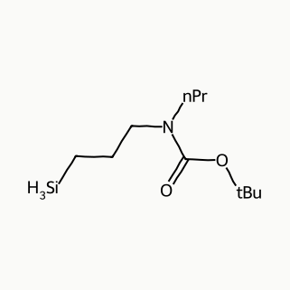 CCCN(CCC[SiH3])C(=O)OC(C)(C)C